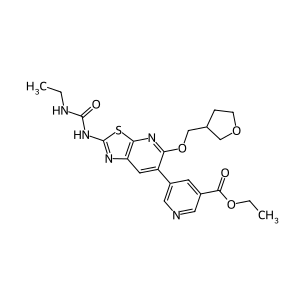 CCNC(=O)Nc1nc2cc(-c3cncc(C(=O)OCC)c3)c(OCC3CCOC3)nc2s1